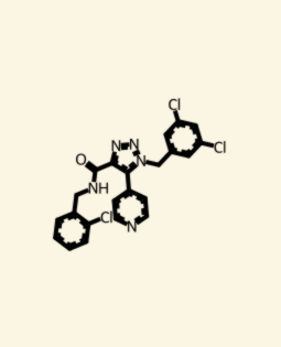 O=C(NCc1ccccc1Cl)c1nnn(Cc2cc(Cl)cc(Cl)c2)c1-c1ccncc1